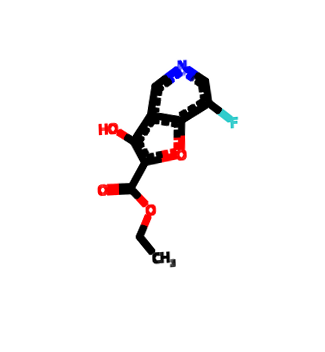 CCOC(=O)c1oc2c(F)cncc2c1O